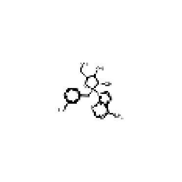 Nc1ncnc2c1ncn2[C@]1(Cc2cccc(O)c2)O[C@H](CO)[C@@H](O)[C@H]1O